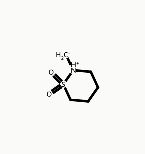 [CH2-][NH+]1CCCCS1(=O)=O